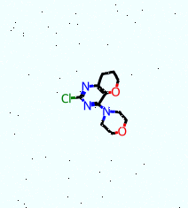 Clc1nc2c(c(N3CCOCC3)n1)OCCC2